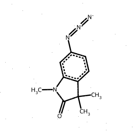 CN1C(=O)C(C)(C)c2ccc(N=[N+]=[N-])cc21